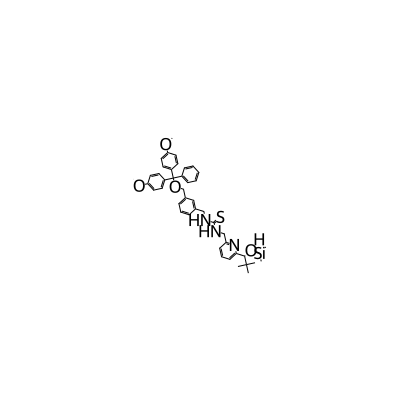 COc1ccc(C(OCc2cccc(CNC(=S)NCc3cccc(C(O[SiH](C)C)C(C)(C)C)n3)c2)(c2ccccc2)c2ccc(OC)cc2)cc1